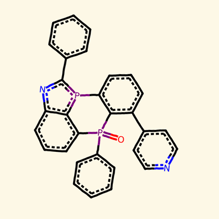 O=P1(c2ccccc2)c2c(-c3ccncc3)cccc2-p2c(-c3ccccc3)nc3cccc1c32